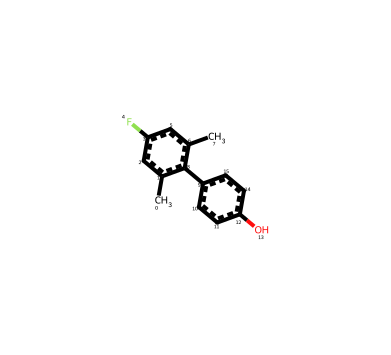 Cc1cc(F)cc(C)c1-c1ccc(O)cc1